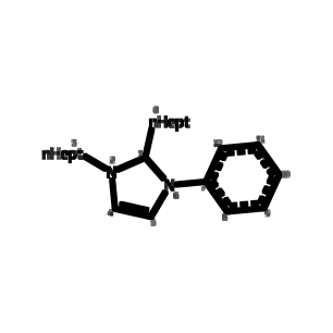 CCCCCCCC1N(CCCCCCC)C=CN1c1ccccc1